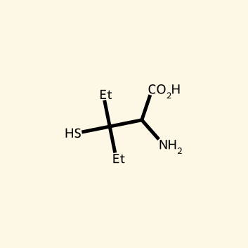 CCC(S)(CC)C(N)C(=O)O